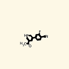 CC(=O)C1=CPCC(c2ccc(C#N)c(F)c2)=C1